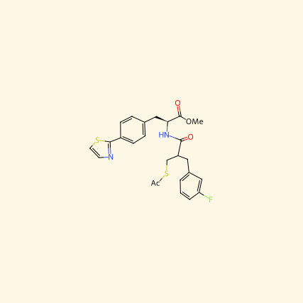 COC(=O)[C@H](Cc1ccc(-c2nccs2)cc1)NC(=O)C(CSC(C)=O)Cc1cccc(F)c1